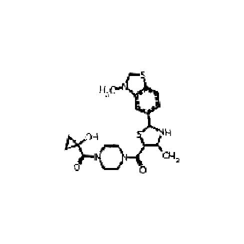 CC1NC(c2ccc3c(c2)N(C)CS3)SC1C(=O)N1CCN(C(=O)C2(O)CC2)CC1